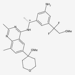 COCC(F)(F)c1cc(N)cc([C@@H](C)Nc2nc(C)nc3c(C)cc(C4(OC)CCOCC4)cc23)c1